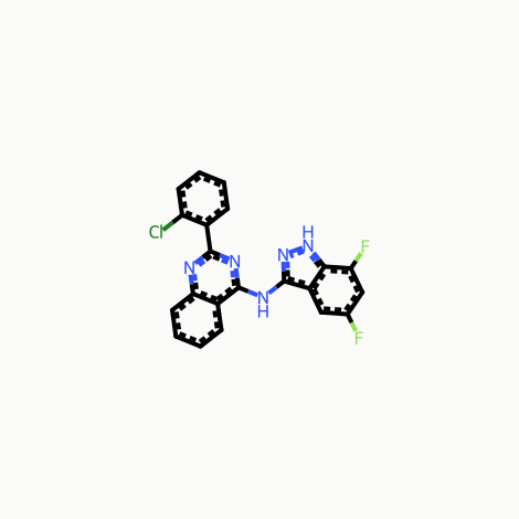 Fc1cc(F)c2[nH]nc(Nc3nc(-c4ccccc4Cl)nc4ccccc34)c2c1